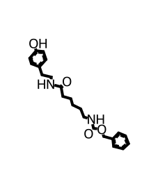 O=C(CCCCCNC(=O)OCc1ccccc1)NCCc1ccc(O)cc1